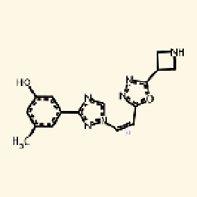 Cc1cc(O)cc(-c2ncn(/C=C\c3nnc(C4CNC4)o3)n2)c1